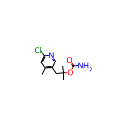 Cc1cc(Cl)ncc1CC(C)(C)OC(N)=O